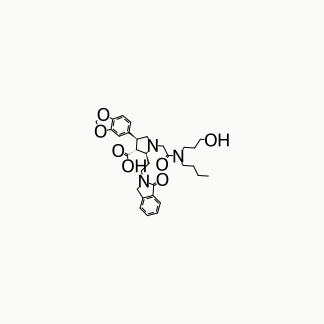 CCCCN(CCCO)C(=O)CN1C[C@H](c2ccc3c(c2)OCO3)[C@@H](C(=O)O)[C@@H]1CCN1Cc2ccccc2C1=O